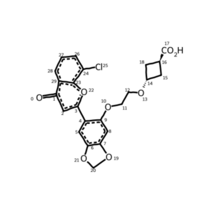 O=c1cc(-c2cc3c(cc2OCCO[C@H]2C[C@H](C(=O)O)C2)OCO3)oc2c(Cl)cccc12